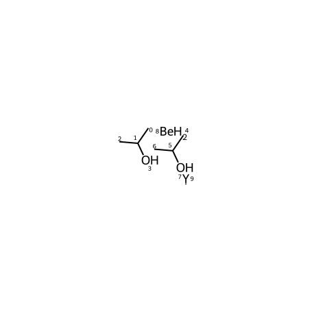 CC(C)O.CC(C)O.[BeH2].[Y]